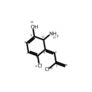 C=C(Cl)C=C1C(Cl)=CC=C(O)C1N